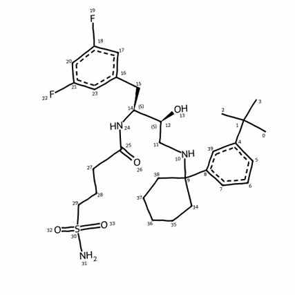 CC(C)(C)c1cccc(C2(NC[C@H](O)[C@H](Cc3cc(F)cc(F)c3)NC(=O)CCCS(N)(=O)=O)CCCCC2)c1